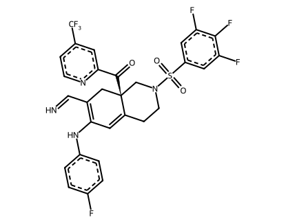 N=CC1=C(Nc2ccc(F)cc2)C=C2CCN(S(=O)(=O)c3cc(F)c(F)c(F)c3)C[C@@]2(C(=O)c2cc(C(F)(F)F)ccn2)C1